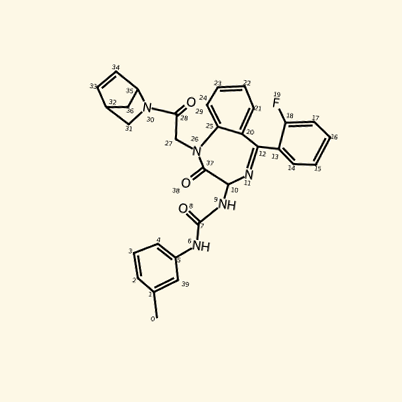 Cc1cccc(NC(=O)NC2N=C(c3ccccc3F)c3ccccc3N(CC(=O)N3CC4C=CC3C4)C2=O)c1